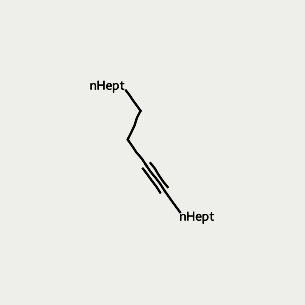 [CH2]CCCCCCC#CCCCCCCCC[CH2]